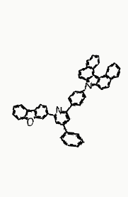 c1ccc(-c2cc(-c3ccc(-n4c5ccc6ccccc6c5c5c6ccccc6ccc54)cc3)nc(-c3ccc4c(c3)oc3ccccc34)c2)cc1